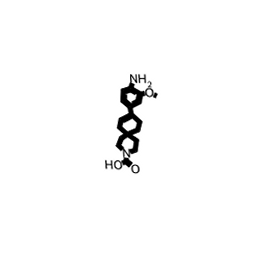 COc1cc(C2=CCC3(CC2)CCN(C(=O)O)CC3)ccc1N